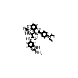 CCN(CC)c1ccc(C(=O)NC(c2ccccc2OC(F)(F)F)C(O)C(=O)Nc2ccc3nc(N)[nH]c3c2)cc1